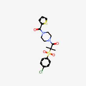 CC(C)(C(=O)N1CCN(C(=O)c2cccs2)CC1)S(=O)(=O)c1ccc(Cl)cc1